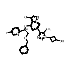 Cc1c(-c2cc(O[C@@H](COCc3ccccc3)c3ccc(F)cn3)c3c(Cl)cnn3c2)nnn1C1CC(O)C1